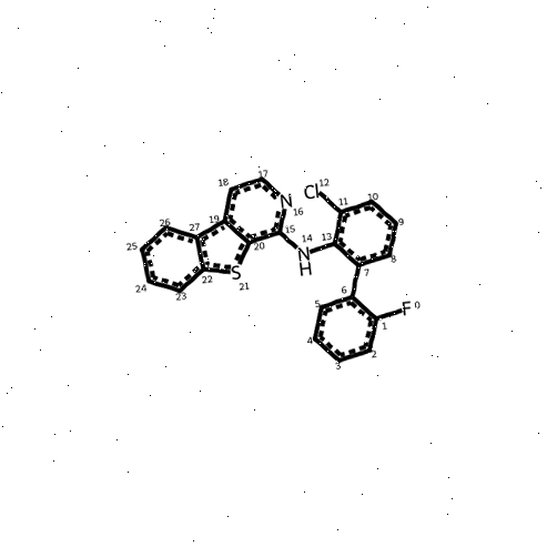 Fc1ccccc1-c1cccc(Cl)c1Nc1nccc2c1sc1ccccc12